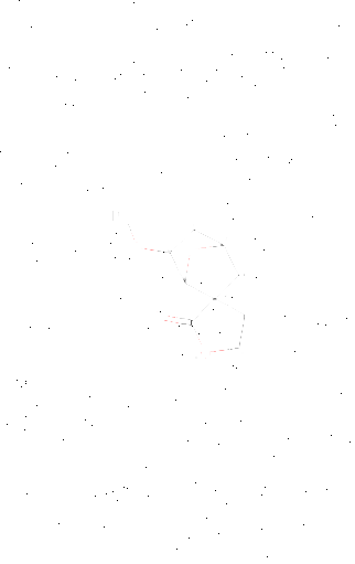 CCCCOC1CC2CC3(CCOC3=O)C1O2